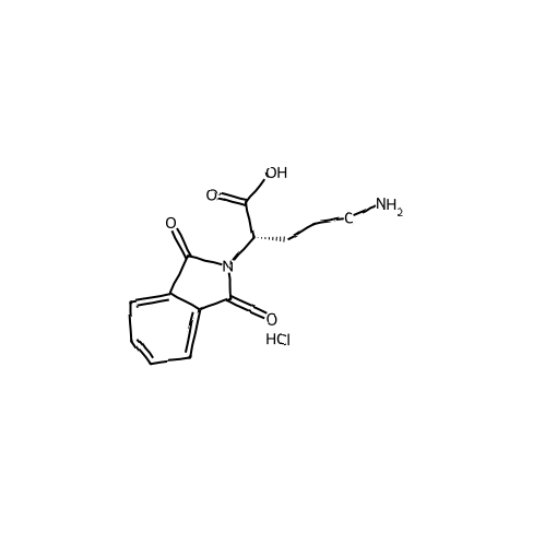 Cl.NCCC[C@@H](C(=O)O)N1C(=O)c2ccccc2C1=O